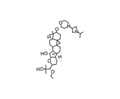 CCO[C@@H](C1C[C@@H](C)[C@H]2C(O1)[C@H](O)[C@@]1(C)C3CC[C@H]4C(C)(C)[C@@H](O[C@H]5CN(C6CN(C(C)C)C6)CCO5)CCC45C[C@@]35CC[C@]21C)C(C)(C)O